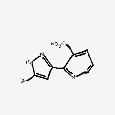 CC(C)c1cc(-c2ncccc2C(=O)O)n[nH]1